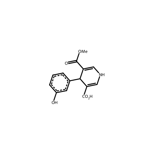 COC(=O)C1=CNC=C(C(=O)O)C1c1cccc(O)c1